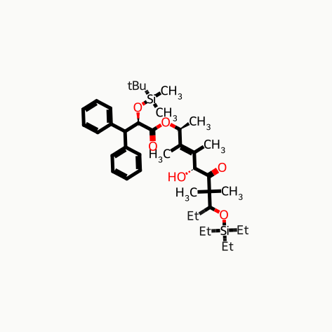 CCC(O[Si](CC)(CC)CC)C(C)(C)C(=O)[C@H](O)/C(C)=C(\C)[C@H](C)OC(=O)[C@H](O[Si](C)(C)C(C)(C)C)C(c1ccccc1)c1ccccc1